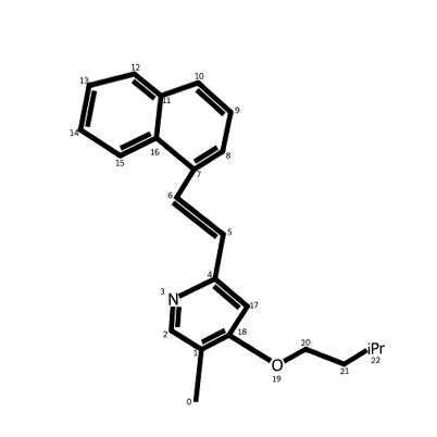 Cc1cnc(C=Cc2cccc3ccccc23)cc1OCCC(C)C